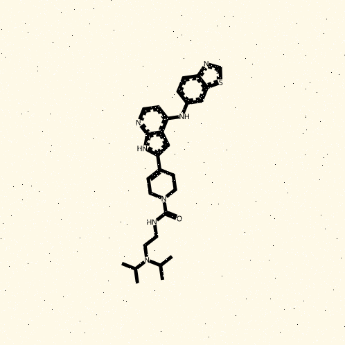 CC(C)N(CCNC(=O)N1CC=C(c2cc3c(Nc4ccc5ncsc5c4)ccnc3[nH]2)CC1)C(C)C